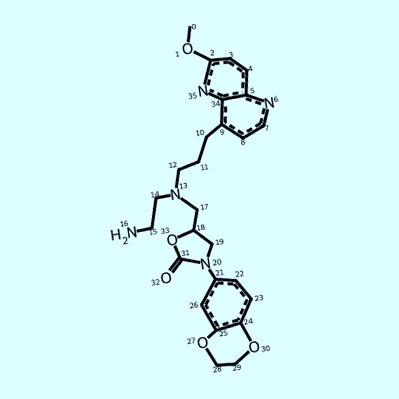 COc1ccc2nccc(CCCN(CCN)CC3CN(c4ccc5c(c4)OCCO5)C(=O)O3)c2n1